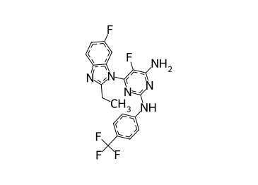 CCc1nc2ccc(F)cc2n1-c1nc(Nc2ccc(C(F)(F)F)cc2)nc(N)c1F